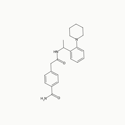 CC(NC(=O)Cc1ccc(C(N)=O)cc1)c1ccccc1N1CCCCC1